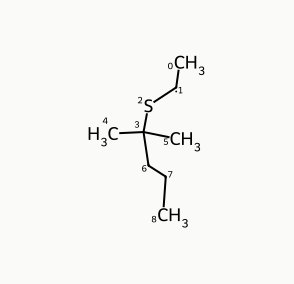 C[CH]SC(C)(C)CCC